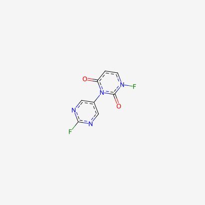 O=c1ccn(F)c(=O)n1-c1cnc(F)nc1